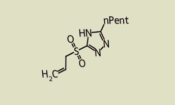 C=CCS(=O)(=O)c1nnc(CCCCC)[nH]1